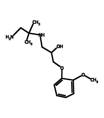 COc1ccccc1OCC(O)CNC(C)(C)CN